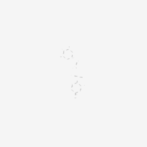 O=S(=O)(ON=Cc1ccccc1)c1ccc(Cl)cc1